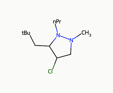 CCCN1C(CC(C)(C)C)C(Cl)CN1C